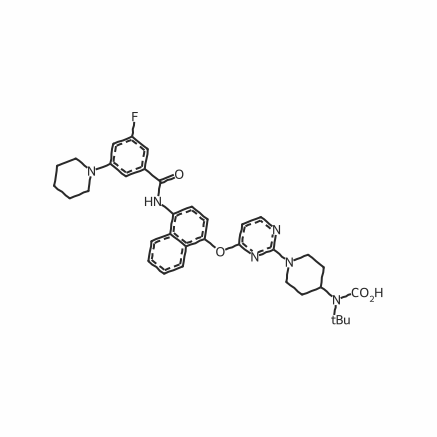 CC(C)(C)N(C(=O)O)C1CCN(c2nccc(Oc3ccc(NC(=O)c4cc(F)cc(N5CCCCC5)c4)c4ccccc34)n2)CC1